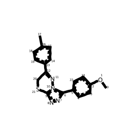 COc1ccc(-c2nnc3n2N=C(c2ccc(C)cc2)CS3)cc1